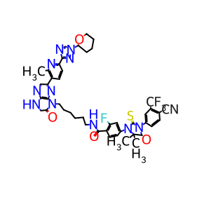 Cc1nc(-c2ncn(C3CCCCO3)n2)ccc1-c1cnc2c(n1)N(CCCCCCNC(=O)c1ccc(N3C(=S)N(c4ccc(C#N)c(C(F)(F)F)c4)C(=O)C3(C)C)cc1F)C(=O)CN2